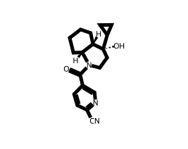 N#Cc1ccc(C(=O)N2CC[C@](O)(C3CC3)[C@H]3CCCC[C@H]32)cn1